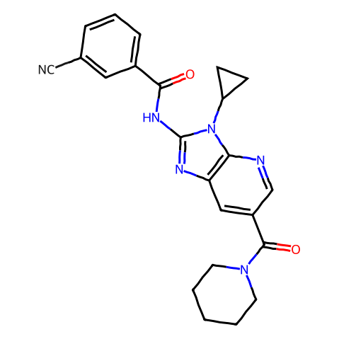 N#Cc1cccc(C(=O)Nc2nc3cc(C(=O)N4CCCCC4)cnc3n2C2CC2)c1